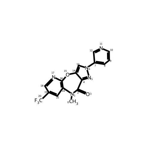 CN1C(=O)c2nn(-c3cccnc3)cc2Oc2ncc(C(F)(F)F)cc21